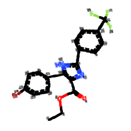 CCOC(=O)c1nc(-c2ccc(C(F)(F)F)cc2)[nH]c1-c1ccc(Br)cc1